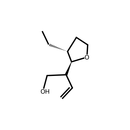 C=CC(CO)[C@@H]1OCC[C@H]1CC